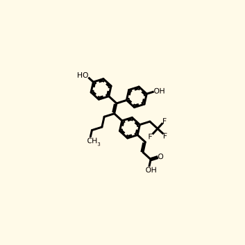 CCCCC(=C(c1ccc(O)cc1)c1ccc(O)cc1)c1ccc(/C=C/C(=O)O)c(CC(F)(F)F)c1